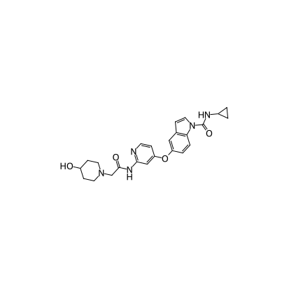 O=C(CN1CCC(O)CC1)Nc1cc(Oc2ccc3c(ccn3C(=O)NC3CC3)c2)ccn1